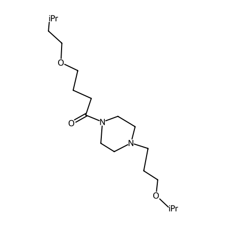 CC(C)CCOCCCC(=O)N1CCN(CCCOC(C)C)CC1